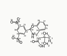 CC(C)(C)[C@H](C(=O)O)C(NC(=O)c1cc([N+](=O)[O-])cc([N+](=O)[O-])c1)c1ccccc1